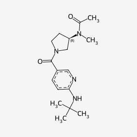 CC(=O)N(C)[C@@H]1CCN(C(=O)c2ccc(NC(C)(C)C)nc2)C1